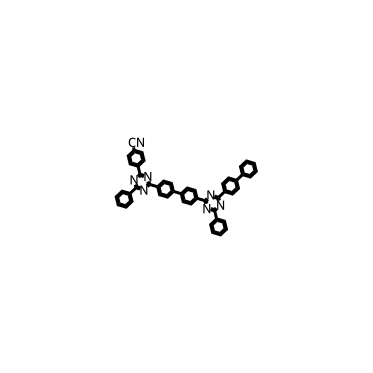 N#Cc1ccc(-c2nc(-c3ccccc3)nc(-c3ccc(-c4ccc(-c5nc(-c6ccccc6)nc(-c6ccc(-c7ccccc7)cc6)n5)cc4)cc3)n2)cc1